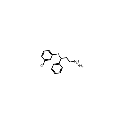 NNCCC(Oc1cccc(Cl)c1)c1ccccc1